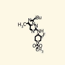 CCC(C)c1nc(C)c2cnc(N[C@@H]3CCN(S(C)(=O)=O)C[C@H]3F)nn12